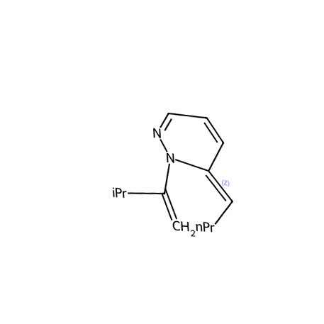 C=C(C(C)C)N1N=CC=C/C1=C/CCC